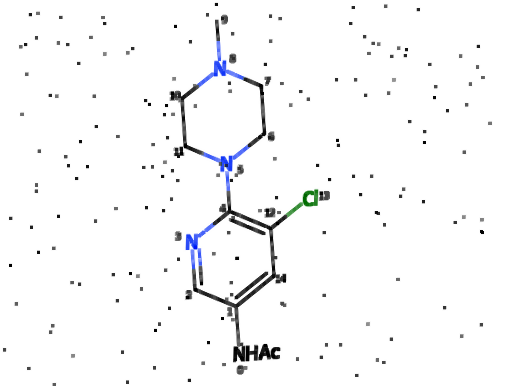 CC(=O)Nc1cnc(N2CCN(C)CC2)c(Cl)c1